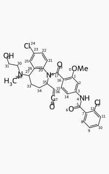 COc1cc(NC(=O)c2ccccc2Cl)ccc1C(=O)N1c2ccc(Cl)cc2C(N(C)CCO)CCC1C=C=O